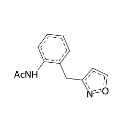 CC(=O)Nc1ccccc1Cc1ccon1